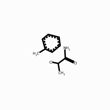 CC(Cl)C(N)=O.Cc1ccccc1